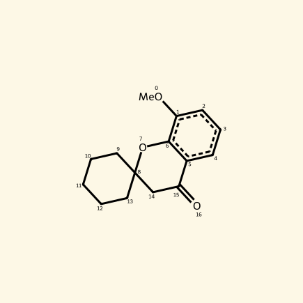 COc1cccc2c1OC1(CCCCC1)CC2=O